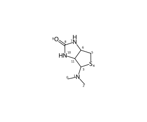 CN(C)C1SCC2NC(=O)NC21